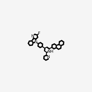 Fc1cnc2c3ccccc3n(-c3ccc(C4=CC(c5ccccn5)NC(c5ccc6c(ccc7ccccc76)c5)=C4)cc3)c2c1